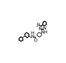 CN(C)c1nc(N[C@H]2CC[C@@H](C(=O)NCc3cccc(-c4ccccc4)c3)CC2)nc2ccccc12